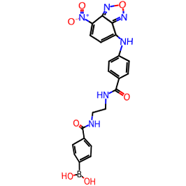 O=C(NCCNC(=O)c1ccc(B(O)O)cc1)c1ccc(Nc2ccc([N+](=O)[O-])c3nonc23)cc1